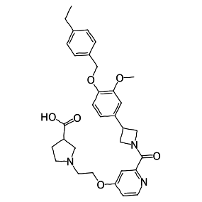 CCc1ccc(COc2ccc(C3CN(C(=O)c4cc(OCCN5CCC(C(=O)O)C5)ccn4)C3)cc2OC)cc1